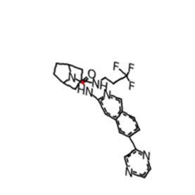 O=C(Nc1cc2cc(-c3cnccn3)ccc2cn1)N1C2CCC1CC(NCCC(F)(F)F)C2